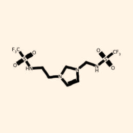 O=S(=O)(NCCN1C=CN(CNS(=O)(=O)C(F)(F)F)C1)C(F)(F)F